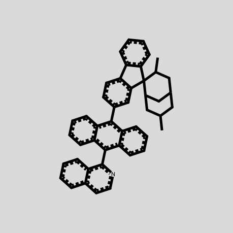 CC1CC2CC(C)C3(c4ccccc4-c4ccc(-c5c6ccccc6c(-c6nccc7ccccc67)c6ccccc56)cc43)C(C1)C2